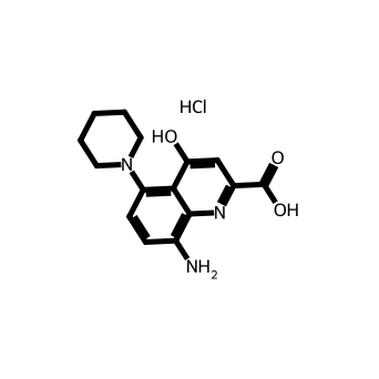 Cl.Nc1ccc(N2CCCCC2)c2c(O)cc(C(=O)O)nc12